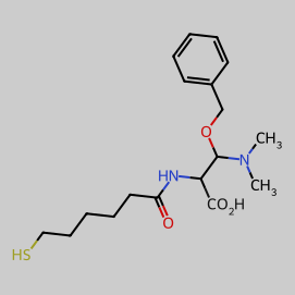 CN(C)C(OCc1ccccc1)C(NC(=O)CCCCCS)C(=O)O